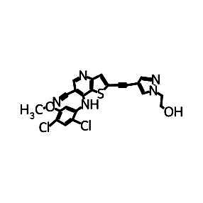 COc1cc(Nc2c(C#N)cnc3cc(C#Cc4cnn(CCO)c4)sc23)c(Cl)cc1Cl